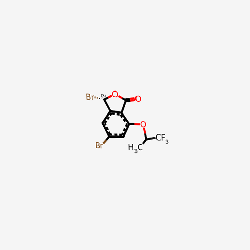 CC(Oc1cc(Br)cc2c1C(=O)O[C@H]2Br)C(F)(F)F